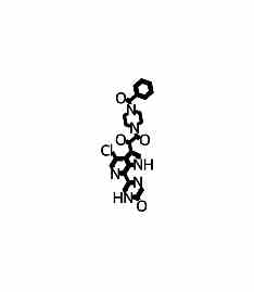 O=C(C(=O)N1CCN(C(=O)c2ccccc2)CC1)c1c[nH]c2c(-c3c[nH]c(=O)cn3)ncc(Cl)c12